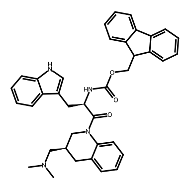 CN(C)C[C@@H]1Cc2ccccc2N(C(=O)[C@@H](Cc2c[nH]c3ccccc23)NC(=O)OCC2c3ccccc3-c3ccccc32)C1